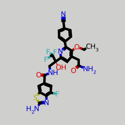 CCOc1c(CC(N)=O)cc([C@@](O)(CNC(=O)c2cc(F)c3nc(N)sc3c2)C(F)(F)F)nc1-c1ccc(C#N)cc1